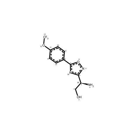 N[C@@H](CO)c1noc(-c2ccc(OC(F)(F)F)cc2)n1